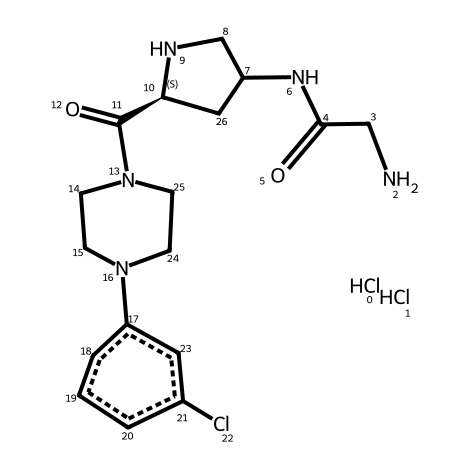 Cl.Cl.NCC(=O)NC1CN[C@H](C(=O)N2CCN(c3cccc(Cl)c3)CC2)C1